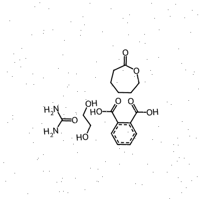 NC(N)=O.O=C(O)c1ccccc1C(=O)O.O=C1CCCCCO1.OCCO